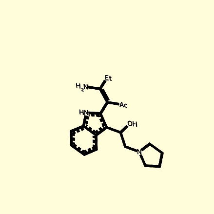 CCC(N)=C(C(C)=O)c1[nH]c2ccccc2c1C(O)CN1CCCC1